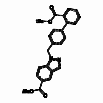 COC(=O)c1ccc2c(cnn2Cc2ccc(-c3ccccc3C(=O)OC(C)(C)C)cc2)c1